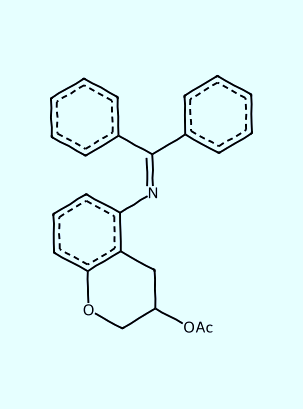 CC(=O)OC1COc2cccc(N=C(c3ccccc3)c3ccccc3)c2C1